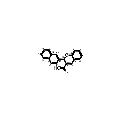 O=C(O)C1=Cc2ccccc2OC1c1ccc2ccccc2c1